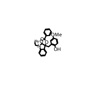 COc1ccc(O)c(CC2(OC(=O)c3ccccc3)C(=O)N(CC(C)C)c3ccccc32)c1